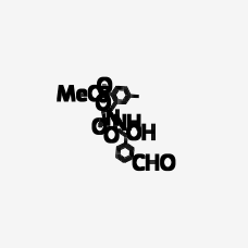 COS(=O)(=O)c1ccc(C)cc1C1CC(=O)N1NC(=O)C(O)c1cccc(C=O)c1